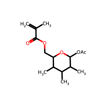 C=C(C)C(=O)OCC1OC(OC(C)=O)C(C)C(C)C1C